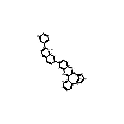 c1ccc(-c2cnc3ccc(-c4ccc5nc6c(nc5c4)-c4ccccc4-c4cccc-6c4)cc3n2)cc1